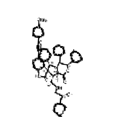 COc1ccc(C#Cc2ccc3c(c2)[C@]2(C(=O)N3)[C@H](C(=O)NC[C@H](O)c3ccccc3)[C@H]3C(=O)O[C@H](c4ccccc4)C(c4ccccc4)N3[C@@H]2c2ccc(O)cc2)cc1